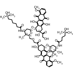 COc1cccc2c1C(=O)c1c(O)c3c(c(O)c1C2=O)C[C@@](O)(C(=O)COC[C@@H]1O[C@@H](O[C@H]2C[C@](O)(C(=O)CO)Cc4c(O)c5c(c(O)c42)C(=O)c2c(OC)cccc2C5=O)C[C@H](NC(=O)CCCCC[Si](C)(C)O)[C@@H]1C)C[C@@H]3O[C@H]1C[C@H](NC(=O)CCC[Si](C)(C)O)[C@H](C)[C@H](C)O1